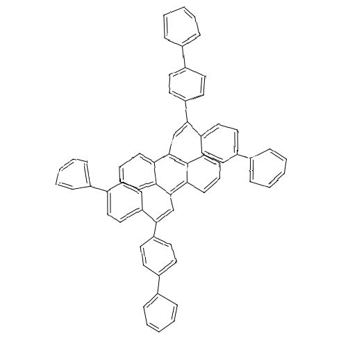 C(=C(c1ccc(-c2ccccc2)cc1)c1ccc(-c2ccccc2)cc1)c1c2ccccc2c(C=C(c2ccc(-c3ccccc3)cc2)c2ccc(-c3ccccc3)cc2)c2ccccc12